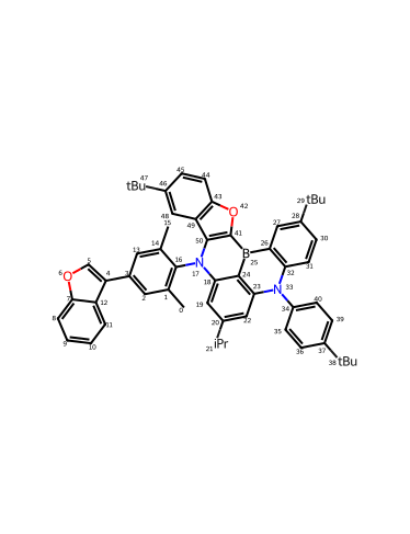 Cc1cc(-c2coc3ccccc23)cc(C)c1N1c2cc(C(C)C)cc3c2B(c2cc(C(C)(C)C)ccc2N3c2ccc(C(C)(C)C)cc2)c2oc3ccc(C(C)(C)C)cc3c21